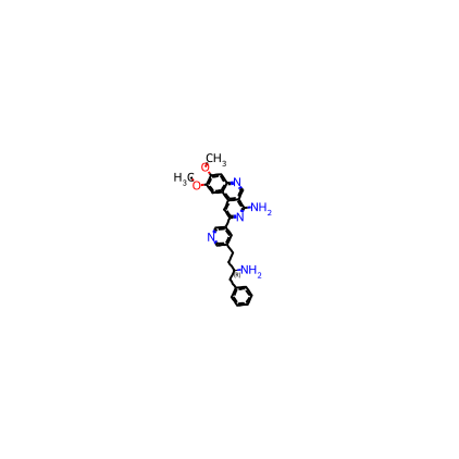 COc1cc2ncc3c(N)nc(-c4cncc(CC[C@@H](N)Cc5ccccc5)c4)cc3c2cc1OC